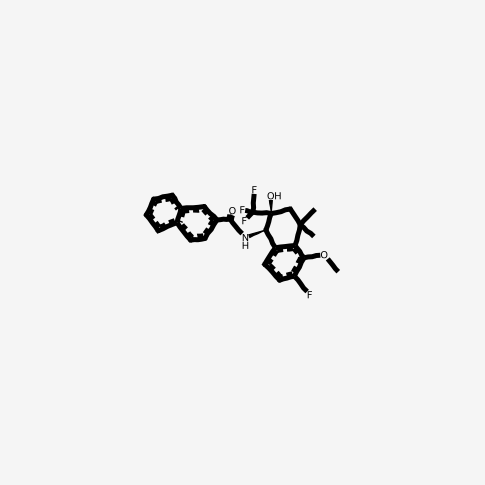 COc1c(F)ccc2c1C(C)(C)C[C@@](O)(C(F)(F)F)[C@@H]2NC(=O)c1ccc2ccccc2c1